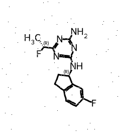 C[C@@H](F)c1nc(N)nc(N[C@@H]2CCc3ccc(F)cc32)n1